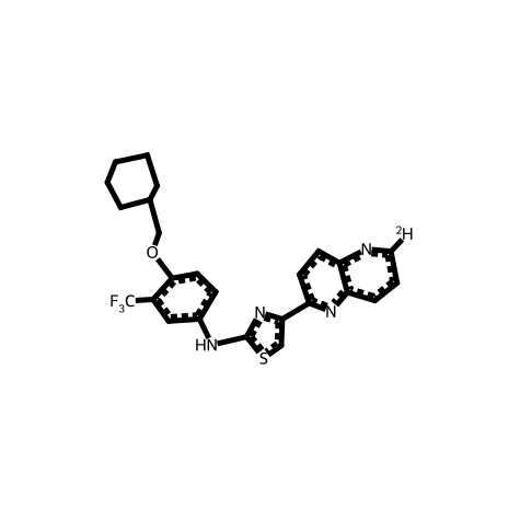 [2H]c1ccc2nc(-c3csc(Nc4ccc(OCC5CCCCC5)c(C(F)(F)F)c4)n3)ccc2n1